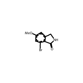 COc1cc(Br)c2c(c1)CNC2=O